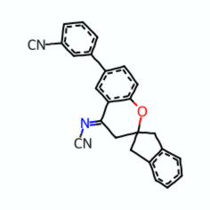 [C-]#[N+]c1cccc(-c2ccc3c(c2)/C(=N/C#N)CC2(Cc4ccccc4C2)O3)c1